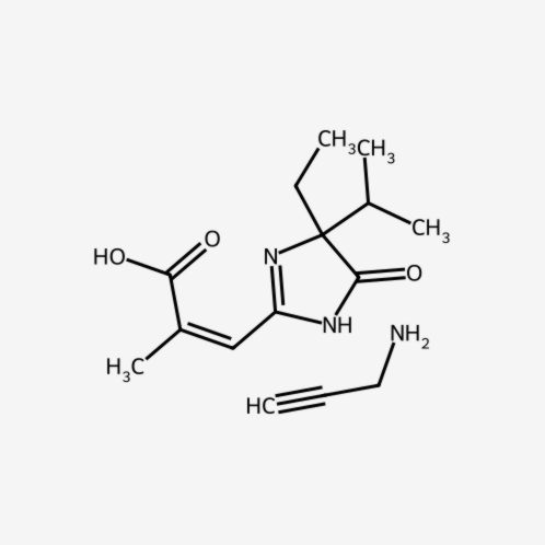 C#CCN.CCC1(C(C)C)N=C(C=C(C)C(=O)O)NC1=O